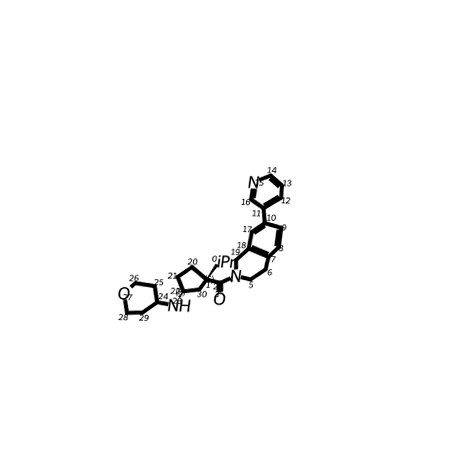 CC(C)[C@]1(C(=O)N2CCc3ccc(-c4cccnc4)cc3C2)CC[C@@H](NC2CCOCC2)C1